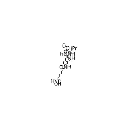 CC(C)C[C@H](NC(O)[C@@H]1Cc2ccc(NC(=O)CCCCCCC(=O)NO)cc2CN1)C(=O)OC1CCCC1